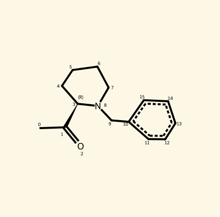 CC(=O)[C@H]1CCCCN1Cc1ccccc1